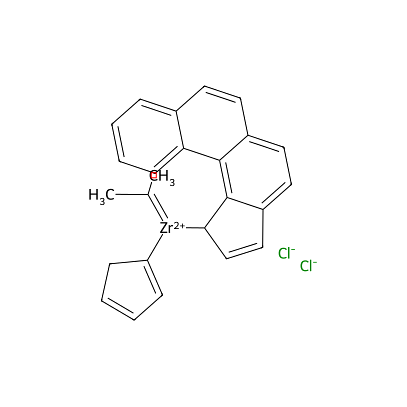 C[C](C)=[Zr+2]([C]1=CC=CC1)[CH]1C=Cc2ccc3ccc4ccccc4c3c21.[Cl-].[Cl-]